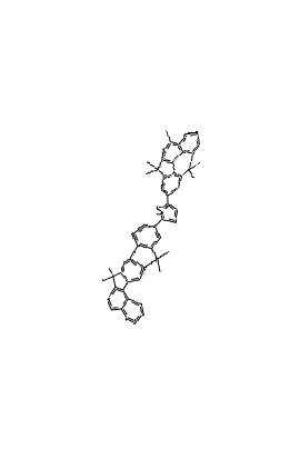 Cc1cc2c3c4c(cccc14)C(C)(C)c1cc(-c4ccc(-c5ccc6c(c5)C(C)(C)c5cc7c(cc5-6)C(C)(C)c5ccc6ccccc6c5-7)s4)cc(c1-3)C2(C)C